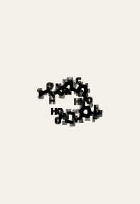 Cc1ccc(C(=O)Nc2cc(CN3CCN(C(=O)O)CC3)cc(C(F)(F)F)c2)cc1-c1ccc2nc(NC(=O)C3CC3)cn2n1